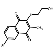 CC1=C(SCCO)C(=O)c2ccc(Br)cc2C1=O